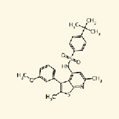 COc1cccc(-c2c(C)sc3nc(C)cc(NS(=O)(=O)c4ccc(C(C)(C)C)cc4)c23)c1